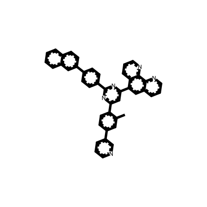 Cc1cc(-c2cccnc2)ccc1-c1cc(-c2cc3cccnc3c3ncccc23)nc(-c2ccc(-c3ccc4ccccc4c3)cc2)n1